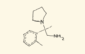 Cc1ccccc1C(C)(CN)N1CCCC1